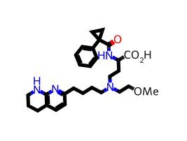 COCCN(CCCCc1ccc2c(n1)NCCC2)CCC(NC(=O)C1(c2ccccc2)CC1)C(=O)O